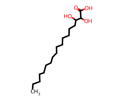 CCCCCCCCCCCCCCCC(O)C(O)C(=O)O